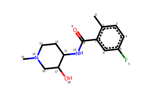 Cc1ccc(F)cc1C(=O)NC1CCN(C)CC1O